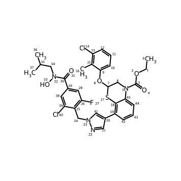 CCOC(=O)N1CC(Oc2cccc(Cl)c2C)Sc2c(-c3cnn(Cc4c(F)cc(C(=O)N(O)CC(C)C)cc4Cl)c3)cccc21